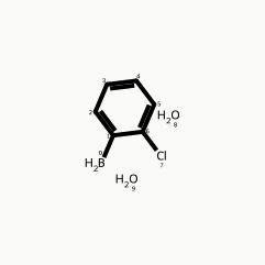 Bc1ccccc1Cl.O.O